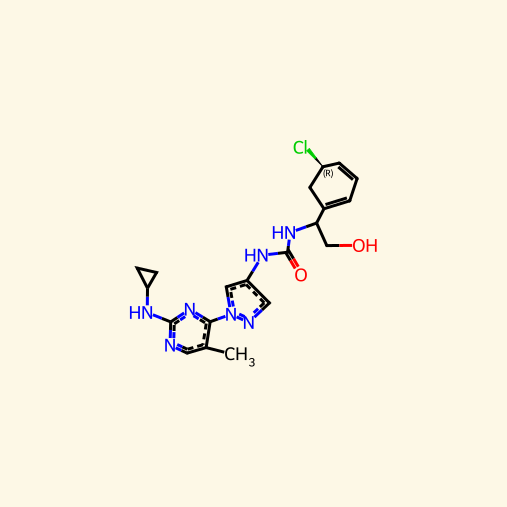 Cc1cnc(NC2CC2)nc1-n1cc(NC(=O)NC(CO)C2=CC=C[C@H](Cl)C2)cn1